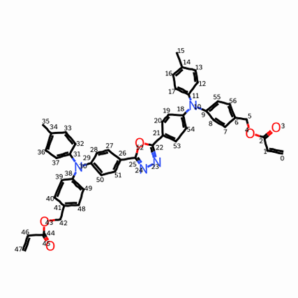 C=CC(=O)OCc1ccc(N(c2ccc(C)cc2)c2ccc(-c3nnc(-c4ccc(N(c5ccc(C)cc5)c5ccc(COC(=O)C=C)cc5)cc4)o3)cc2)cc1